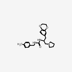 Cc1ccc(CNC(=O)NC(Cc2ccc3c(c2)OCCO3)CN2CCCC2)cc1